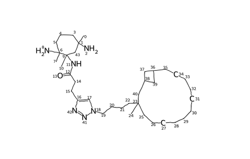 CC1(N)CCCC(C)(N)C(C)(NC(=O)CCc2cn(CCCCC3(C)CCCCCCCCCCCC4CC(C4)C3)nn2)C1